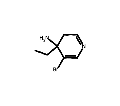 CCC1(N)CC=NC=C1Br